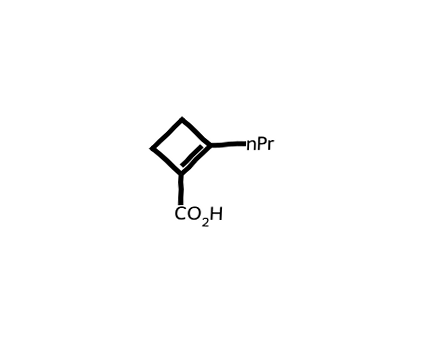 CCCC1=C(C(=O)O)CC1